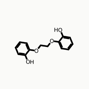 Oc1ccccc1OCCOc1ccccc1O